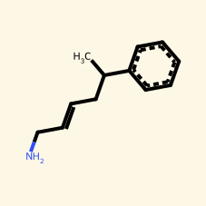 CC(CC=CCN)c1ccccc1